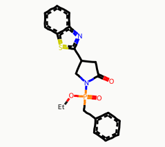 CCOP(=O)(Cc1ccccc1)N1CC(c2nc3ccccc3s2)CC1=O